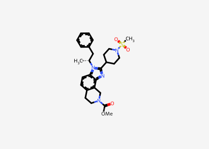 COC(=O)N1CCc2ccc3c(nc(C4CCN(S(C)(=O)=O)CC4)n3[C@H](C)Cc3ccccc3)c2C1